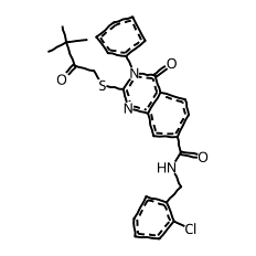 CC(C)(C)C(=O)CSc1nc2cc(C(=O)NCc3ccccc3Cl)ccc2c(=O)n1-c1ccccc1